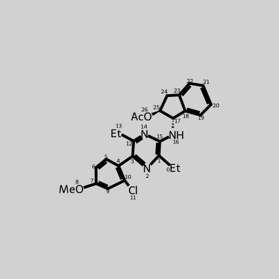 CCc1nc(-c2ccc(OC)cc2Cl)c(CC)nc1N[C@H]1c2ccccc2C[C@@H]1OC(C)=O